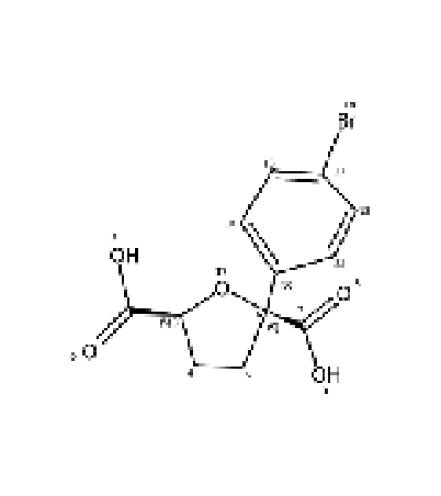 O=C(O)[C@@H]1CC[C@@](C(=O)O)(c2ccc(Br)cc2)O1